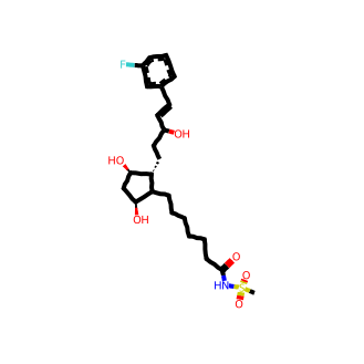 CS(=O)(=O)NC(=O)CCCCCCC1[C@@H](CCC(O)/C=C/c2cccc(F)c2)[C@H](O)C[C@@H]1O